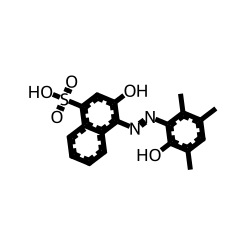 Cc1cc(C)c(O)c(N=Nc2c(O)cc(S(=O)(=O)O)c3ccccc23)c1C